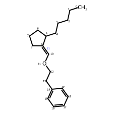 CCCCCC1CCC/C1=C\OCCc1ccccc1